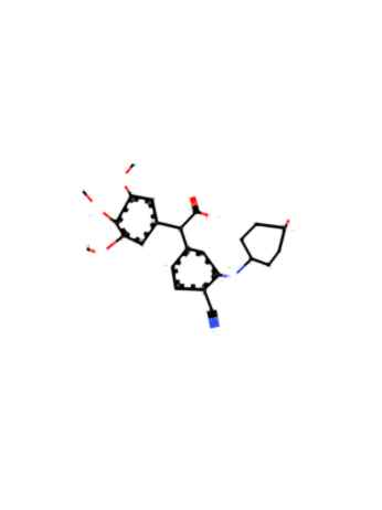 COc1cc(C(C(=O)O)c2ccc(C#N)c(NC3CCC(O)CC3)c2)cc(OC)c1OC